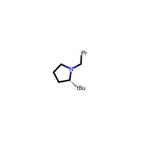 CC(C)CN1CCC[C@H]1C(C)(C)C